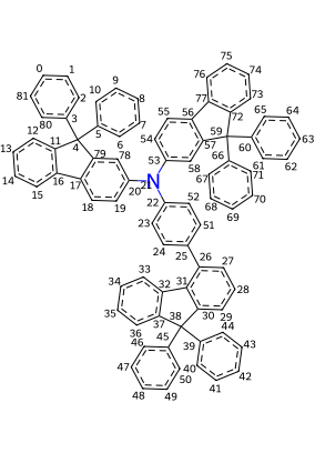 c1ccc(C2(c3ccccc3)c3ccccc3-c3ccc(N(c4ccc(-c5cccc6c5-c5ccccc5C6(c5ccccc5)c5ccccc5)cc4)c4ccc5c(c4)C(c4ccccc4)(c4ccccc4)c4ccccc4-5)cc32)cc1